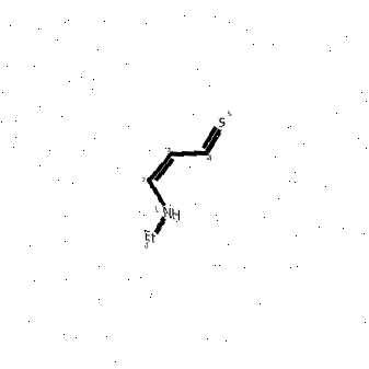 CCN/C=C\C=S